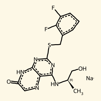 C[C@H](CO)Nc1nc(SCc2cccc(F)c2F)nc2[nH]c(=O)cnc12.[Na]